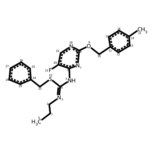 CCC/N=C(/Nc1nc(OCc2ccc(C)cc2)ncc1F)SCc1ccccc1